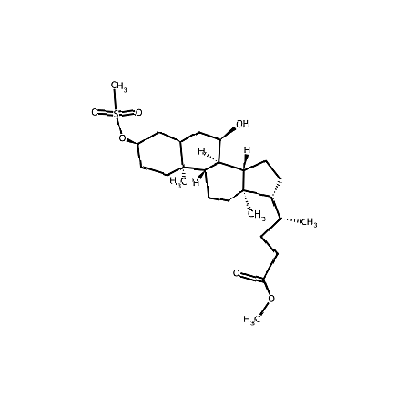 COC(=O)CC[C@@H](C)[C@H]1CC[C@H]2[C@@H]3[C@H](O)CC4C[C@H](OS(C)(=O)=O)CC[C@]4(C)[C@H]3CC[C@]12C